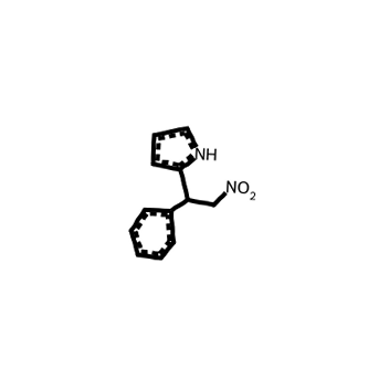 O=[N+]([O-])CC(c1ccccc1)c1ccc[nH]1